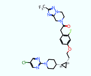 O=C(Cc1ccc(OCC[C@@H]2C[C@@H]2C2CCN(c3ncc(Cl)cn3)CC2)cc1F)N1CCn2nc(C(F)(F)F)nc2C1